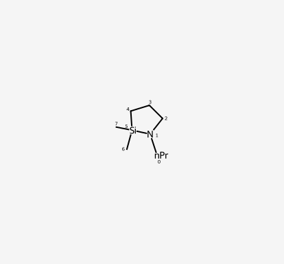 CCCN1CCC[Si]1(C)C